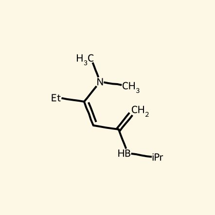 C=C(BC(C)C)/C=C(/CC)N(C)C